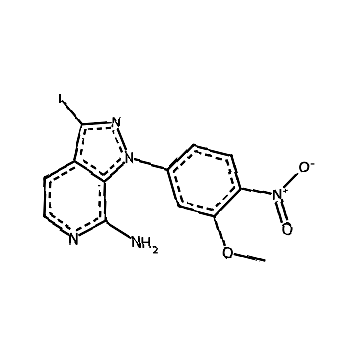 COc1cc(-n2nc(I)c3ccnc(N)c32)ccc1[N+](=O)[O-]